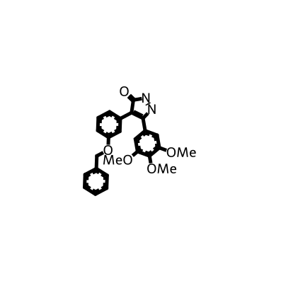 COc1cc(C2=C(c3cccc(OCc4ccccc4)c3)C(=O)N=N2)cc(OC)c1OC